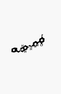 Fc1ccc(Cl)c(-c2ccc(NC[C@@H]3C[C@@H]4CN(CC5CC6C=CC5C6)C[C@@H]4C3)nn2)c1